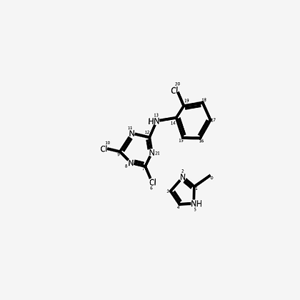 Cc1ncc[nH]1.Clc1nc(Cl)nc(Nc2ccccc2Cl)n1